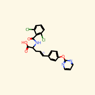 O=C(NC(C/C=C/c1ccc(Oc2ncccn2)cc1)C(=O)O)c1c(Cl)cccc1Cl